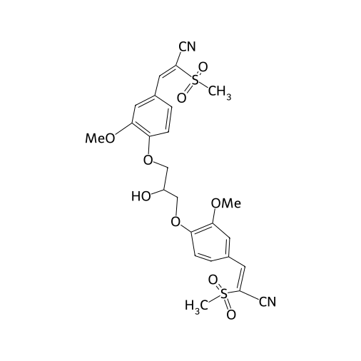 COc1cc(C=C(C#N)S(C)(=O)=O)ccc1OCC(O)COc1ccc(C=C(C#N)S(C)(=O)=O)cc1OC